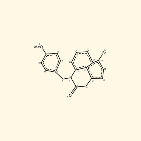 COc1ccc(CN2C(=O)Cc3ccc(Br)c4cccc2c34)cc1